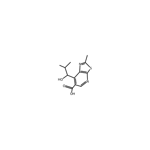 Cc1nc2c(C(O)C(C)C)c(C(=O)O)cnc2s1